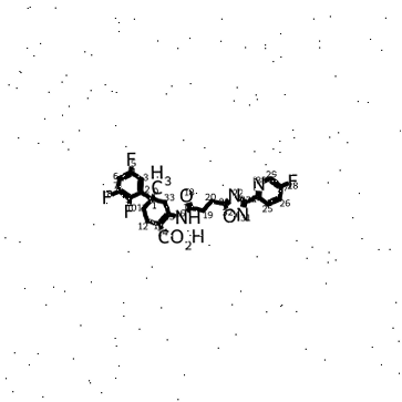 CC1(c2cc(F)cc(F)c2F)CCC(C(=O)O)=C(NC(=O)CCc2nc(-c3ccc(F)cn3)no2)C1